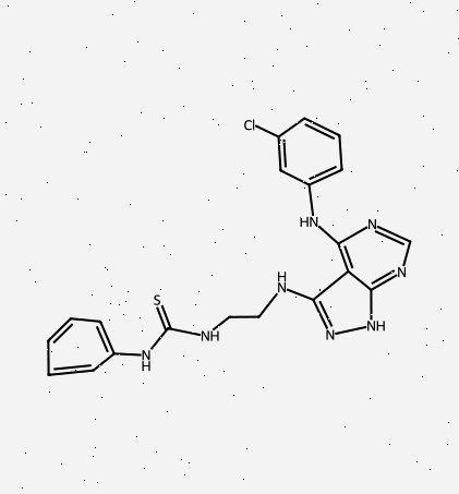 S=C(NCCNc1n[nH]c2ncnc(Nc3cccc(Cl)c3)c12)Nc1ccccc1